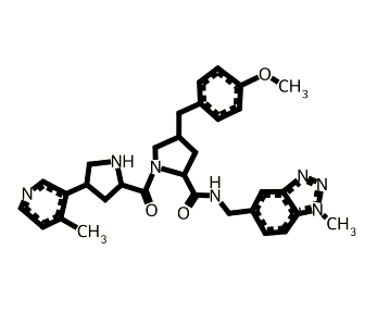 COc1ccc(CC2CC(C(=O)NCc3ccc4c(c3)nnn4C)N(C(=O)C3CC(c4cnccc4C)CN3)C2)cc1